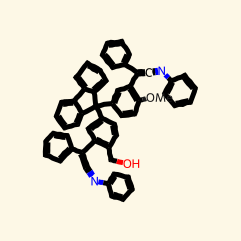 COc1ccc(C2(c3ccc(CO)c(C(=C=Nc4ccccc4)c4ccccc4)c3)c3ccccc3-c3ccccc32)cc1C(=C=Nc1ccccc1)c1ccccc1